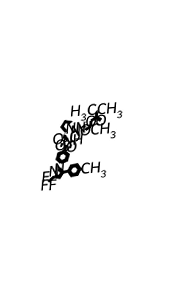 Cc1ccc(-c2cc(C(F)(F)F)nn2-c2ccc(S(=O)(=O)NC(=O)[C@@H]3CCCN3[N+]([O-])=NOC(C)OC(=O)C(C)C)cc2)cc1